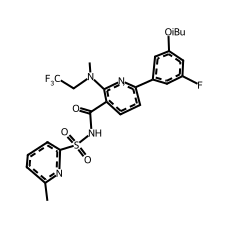 Cc1cccc(S(=O)(=O)NC(=O)c2ccc(-c3cc(F)cc(OCC(C)C)c3)nc2N(C)CC(F)(F)F)n1